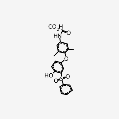 Cc1cc(NC(=O)C(=O)O)cc(C)c1Oc1ccc(O)c(S(=O)(=O)c2ccccc2)c1